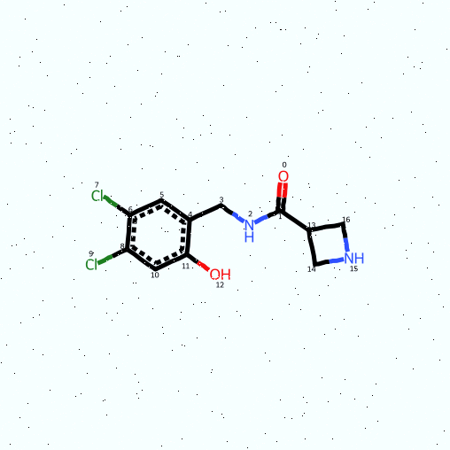 O=C(NCc1cc(Cl)c(Cl)cc1O)C1CNC1